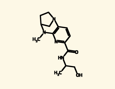 CC(CO)NC(=O)c1ccc2c(n1)N(C)C1CCN2C1